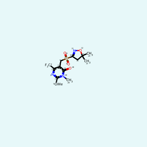 COc1nc(C(F)(F)F)c(CS(=O)(=O)C2=NOC(C)(C)C2)c(=O)n1C